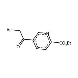 CCOC(=O)c1ccc(C(=O)CC(C)=O)cn1